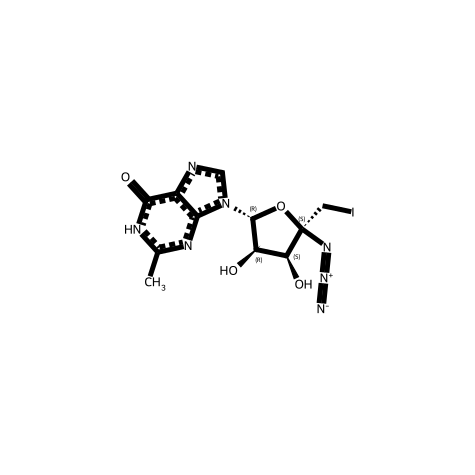 Cc1nc2c(ncn2[C@@H]2O[C@@](CI)(N=[N+]=[N-])[C@@H](O)[C@H]2O)c(=O)[nH]1